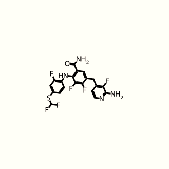 NC(=O)c1cc(Cc2ccnc(N)c2F)c(F)c(F)c1Nc1ccc(SC(F)F)cc1F